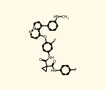 CNc1cccc(-c2ccn3nccc(Oc4ccc(NC(=O)C5(C(=O)Nc6ccc(F)cc6)CC5)cc4F)c23)c1